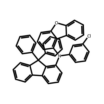 Clc1cccc(N(c2cccc3c2C(c2ccccc2)(c2ccccc2)c2ccccc2-3)c2cccc3oc4ccccc4c23)c1